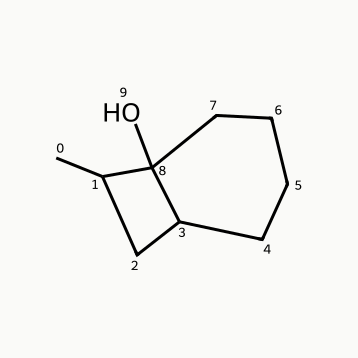 CC1CC2CCCCC12O